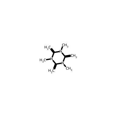 C=C1N(C)C(=C)N(C)C(=C)N1C